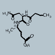 CCCC(=O)N[C@H](CC(N)=O)C(=O)N[C@@H](C)CCC(=O)O